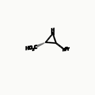 CCCC1N[C@H]1C(=O)O